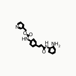 Nc1ccccc1NC(=O)C=Cc1ccc(NC(=O)OCc2cccnc2)cc1